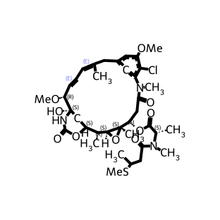 COc1cc2cc(c1Cl)N(C)C(=O)C[C@H](OC(=O)[C@H](C)N(C)C(=O)CC(C)SC)[C@]1(C)O[C@H]1[C@H](C)[C@@H]1C[C@@](O)(NC(=O)O1)[C@H](OC)/C=C/C=C(\C)C2